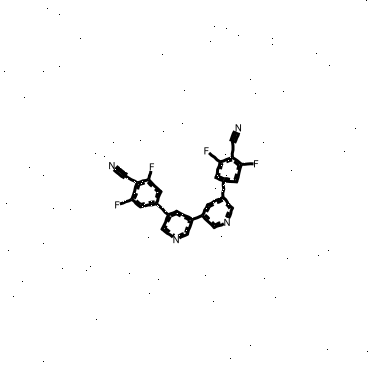 N#Cc1c(F)cc(-c2cncc(-c3cncc(-c4cc(F)c(C#N)c(F)c4)c3)c2)cc1F